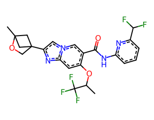 CC(Oc1cc2nc(C34COC(C)(C3)C4)cn2cc1C(=O)Nc1cccc(C(F)F)n1)C(F)(F)F